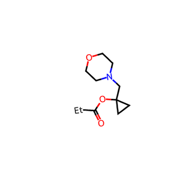 CCC(=O)OC1(CN2CCOCC2)CC1